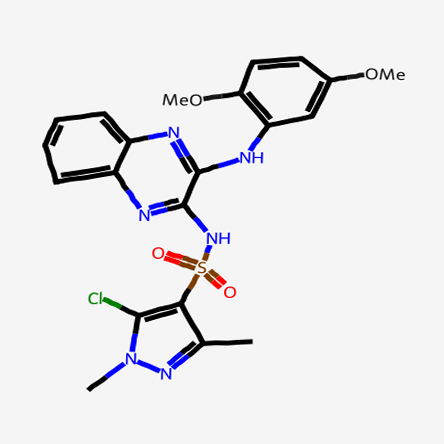 COc1ccc(OC)c(Nc2nc3ccccc3nc2NS(=O)(=O)c2c(C)nn(C)c2Cl)c1